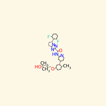 Cc1ccc(OCCCC(C)(C)O)cc1-c1ccnc(NC(=O)c2nc3n(n2)C(c2c(F)cccc2F)CC3)c1